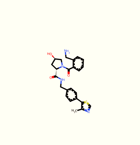 Cc1ncsc1-c1ccc(CNC(=O)[C@@H]2C[C@@H](O)CN2C(=O)c2ccccc2CN)cc1